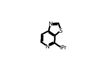 CC(C)c1nccc2ncsc12